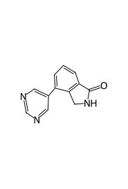 O=C1NCc2c1cccc2-c1cncnc1